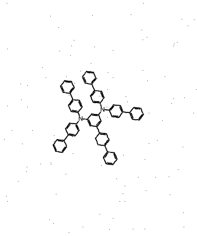 C1=C(c2ccccc2)CCC(c2cc(N(c3ccc(-c4ccccc4)cc3)c3ccc(-c4ccccc4)cc3)cc(N(c3ccc(-c4ccccc4)cc3)c3ccc(-c4ccccc4)cc3)c2)=C1